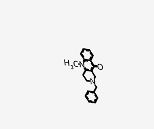 Cn1c2c(c(=O)c3ccccc31)CN(Cc1ccccc1)CC2